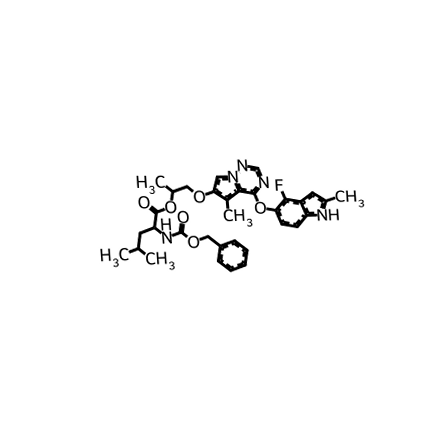 Cc1cc2c(F)c(Oc3ncnn4cc(OCC(C)OC(=O)C(CC(C)C)NC(=O)OCc5ccccc5)c(C)c34)ccc2[nH]1